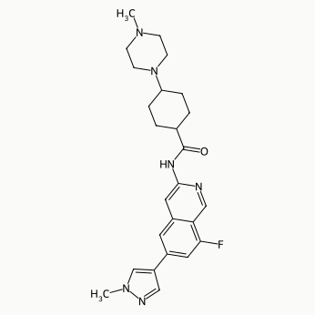 CN1CCN(C2CCC(C(=O)Nc3cc4cc(-c5cnn(C)c5)cc(F)c4cn3)CC2)CC1